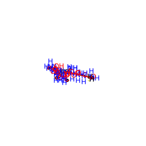 CC(C)C[C@H](NC(=O)[C@H](Cc1c[nH]c2ccccc12)NC(=O)CNC(=O)[C@H](Cc1c[nH]c2ccccc12)NC(=O)[C@@H](NC(=O)[C@@H]1CCCN1C(=O)[C@H](Cc1c[nH]cn1)NC(=O)[C@H](Cc1c[nH]c2ccccc12)NC(=O)[C@@H](N)CO)C(C)C)C(=O)N[C@@H](CCCCN)C(=O)NCC(=O)NCC(=O)NCC(=O)N[C@@H](CCCCNC(=O)CCCC[C@@H]1SC[C@@H]2NC(=O)N[C@@H]21)C(N)=O